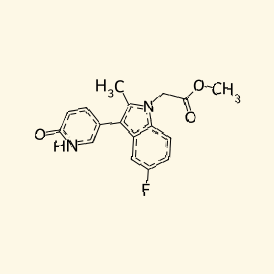 COC(=O)Cn1c(C)c(-c2ccc(=O)[nH]c2)c2cc(F)ccc21